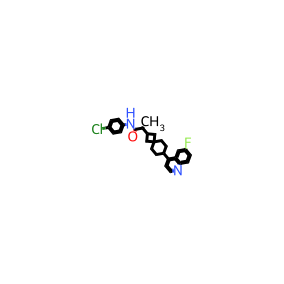 CC(C(=O)Nc1ccc(Cl)cc1)C1CC2(CCC(c3ccnc4ccc(F)cc34)CC2)C1